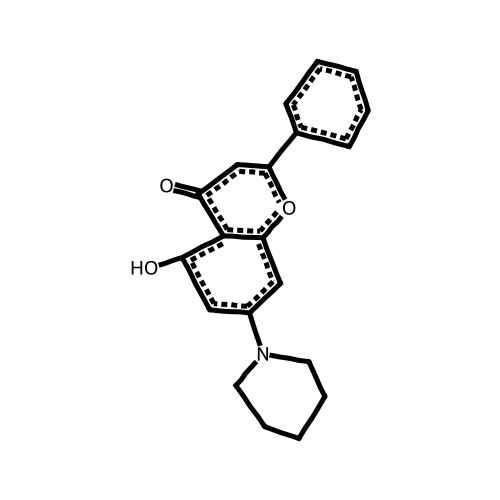 O=c1cc(-c2ccccc2)oc2cc(N3CCCCC3)cc(O)c12